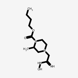 CCCCOC(=O)N1CCN(CC(=N)NO)CC1C